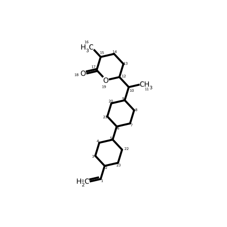 C=CC1CCC(C2CCC(C(C)C3CCC(C)C(=O)O3)CC2)CC1